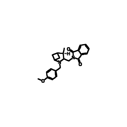 COc1ccc(CN2C3CC(C3)[C@@H](C)C2CN2C(=O)c3ccccc3C2=O)cc1